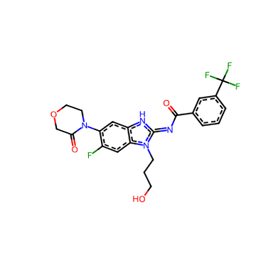 O=C(/N=c1\[nH]c2cc(N3CCOCC3=O)c(F)cc2n1CCCO)c1cccc(C(F)(F)F)c1